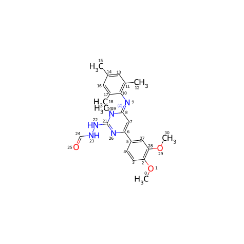 COc1ccc(-c2c/c(=N/c3c(C)cc(C)cc3C)n(C)c(NNC=O)n2)cc1OC